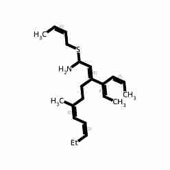 C/C=C\CSC(N)/C=C(CC/C(C)=C\C=C/CC)/C(/C=C\C)=C/C